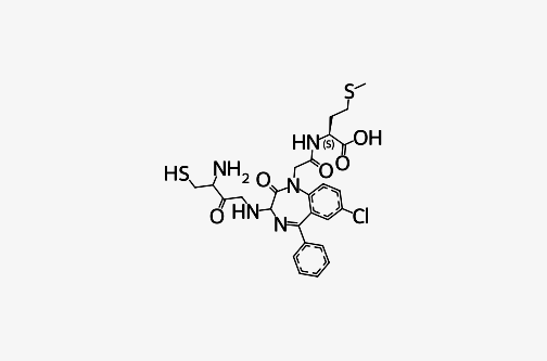 CSCC[C@H](NC(=O)CN1C(=O)C(NCC(=O)C(N)CS)N=C(c2ccccc2)c2cc(Cl)ccc21)C(=O)O